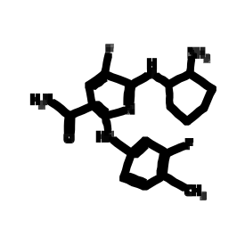 Cc1ccc(Nc2nc(NC3CCCCC3N)c(F)cc2C(N)=O)cc1F